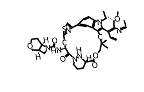 C=C/C(=C(\N=C/C)[C@H](C)OC)c1c2c3cc(ccc3n1CC)-c1csc(n1)C[C@H](NC(=O)N1C[C@H]3COCC[C@H]31)C(=O)N1CCC[C@H](N1)C(=O)OCC(C)(C)C2